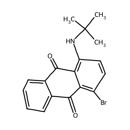 CC(C)(C)Nc1ccc(Br)c2c1C(=O)c1ccccc1C2=O